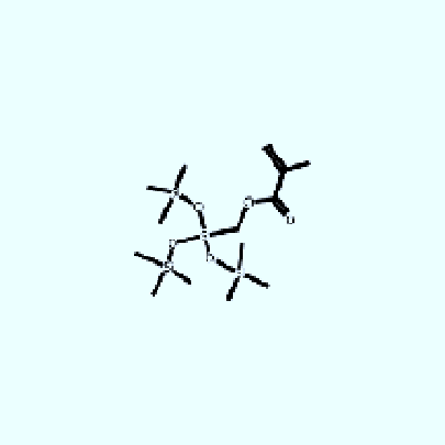 C=C(C)C(=O)OC[Si](O[Si](C)(C)C)(O[Si](C)(C)C)O[Si](C)(C)C